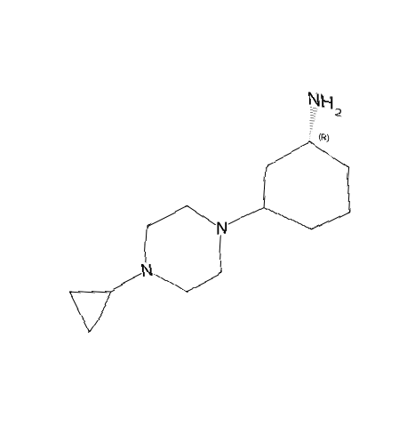 N[C@@H]1CCCC(N2CCN(C3CC3)CC2)C1